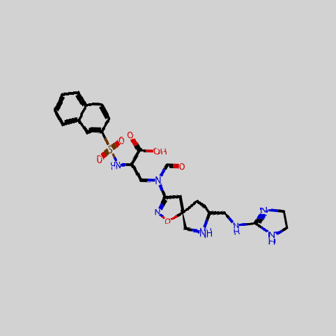 O=CN(CC(NS(=O)(=O)c1ccc2ccccc2c1)C(=O)O)C1=NO[C@]2(CNC(CNC3=NCCN3)C2)C1